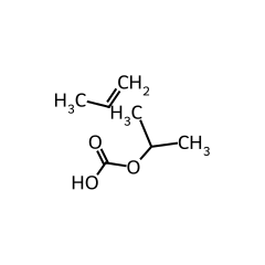 C=CC.CC(C)OC(=O)O